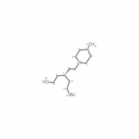 CN1CCN(CC[C@H](CCO)CCC(C)(C)C)CC1